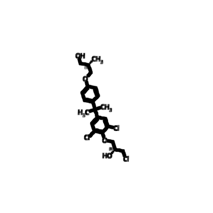 C[C@@H](CO)COc1ccc(C(C)(C)c2cc(Cl)c(OC[C@@H](O)CCl)c(Cl)c2)cc1